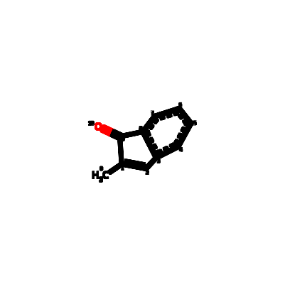 CC1=Cc2ccccc2C1=O